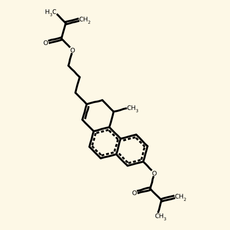 C=C(C)C(=O)OCCCC1=Cc2ccc3cc(OC(=O)C(=C)C)ccc3c2C(C)C1